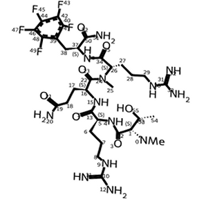 CN[C@H](C(=O)N[C@@H](CCCNC(=N)N)C(=O)N[C@@H](CCC(N)=O)C(=O)N(C)[C@@H](CCCNC(=N)N)C(=O)N[C@@H](Cc1c(F)c(F)c(F)c(F)c1F)C(N)=O)[C@@H](C)O